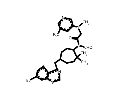 CCc1ccc2c(CC3CCC(N(C=O)C(=O)CN(C)c4cncc(C(F)(F)F)c4)C(C)(C)CC3)ncnc2c1